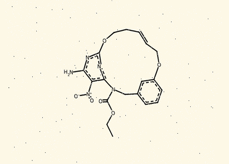 CCOC(=O)N1Cc2cccc(c2)OC/C=C/CCOc2nc(N)c([N+](=O)[O-])c1n2